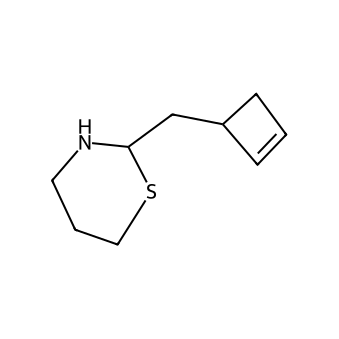 C1=CC(CC2NCCCS2)C1